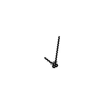 CCCCCCCCCCCCCCCCCCCCCCOC(=O)c1cccc2cccc(C(=O)OCCCCCCCC)c12